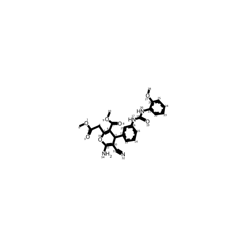 COC(=O)CC1=C(C(=O)OC)C(c2cccc(NC(=O)Nc3ccccc3OC)c2)C(C#N)=C(N)O1